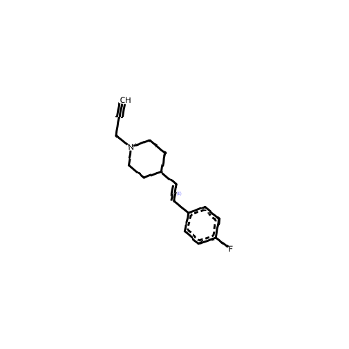 C#CCN1CCC(/C=C/c2ccc(F)cc2)CC1